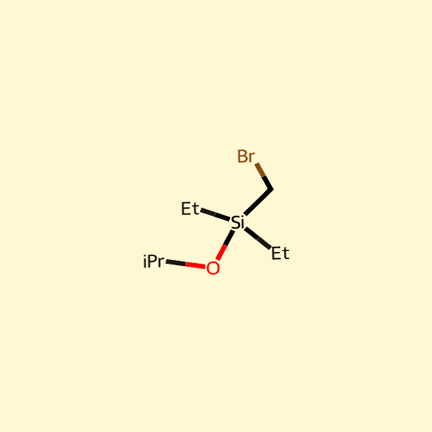 CC[Si](CC)(CBr)OC(C)C